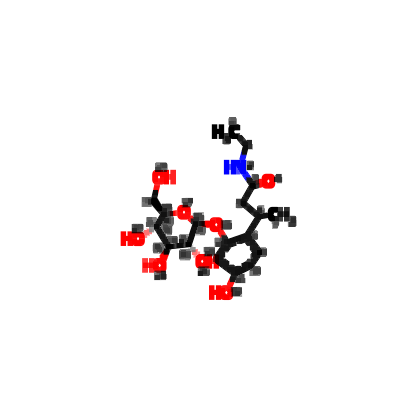 CCNC(=O)CC(C)c1ccc(O)cc1O[C@@H]1O[C@H](CO)[C@@H](O)[C@H](O)[C@H]1O